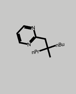 CCCCC(C)(CCC)Cc1ncccn1